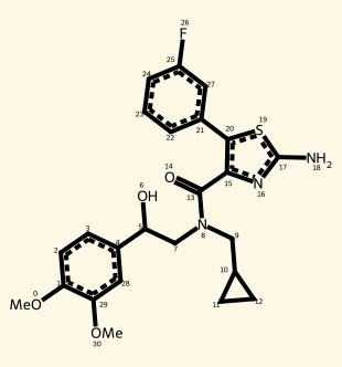 COc1ccc(C(O)CN(CC2CC2)C(=O)c2nc(N)sc2-c2cccc(F)c2)cc1OC